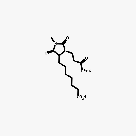 CCCCCC(=O)CCN1C(=O)N(C)C(=O)C1CCCCCCC(=O)O